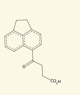 O=C(O)CCC(=O)c1ccc2c3c(cccc13)CC2